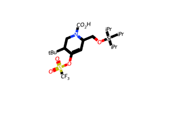 CC(C)[Si](OCC1C=C(OS(=O)(=O)C(F)(F)F)C(C(C)(C)C)CN1C(=O)O)(C(C)C)C(C)C